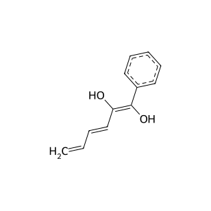 C=CC=CC(O)=C(O)c1ccccc1